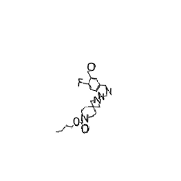 CCCCOC(=O)N1CCC2(CC1)CN(N1CN=Cc3cc(C=O)c(F)cc31)C2